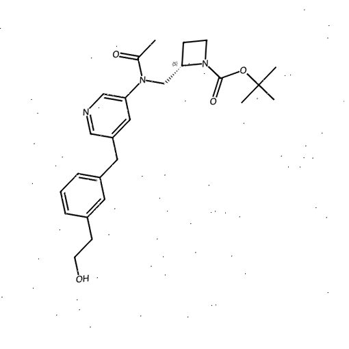 CC(=O)N(C[C@@H]1CCN1C(=O)OC(C)(C)C)c1cncc(Cc2cccc(CCO)c2)c1